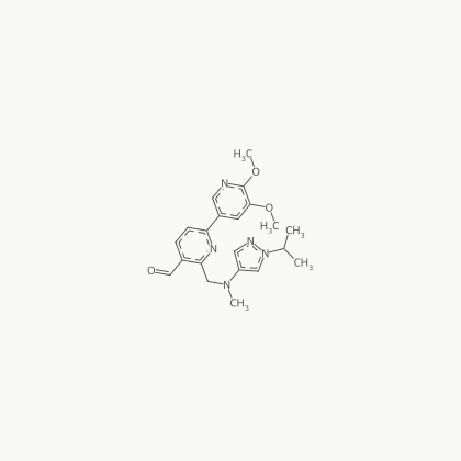 COc1cc(-c2ccc(C=O)c(CN(C)c3cnn(C(C)C)c3)n2)cnc1OC